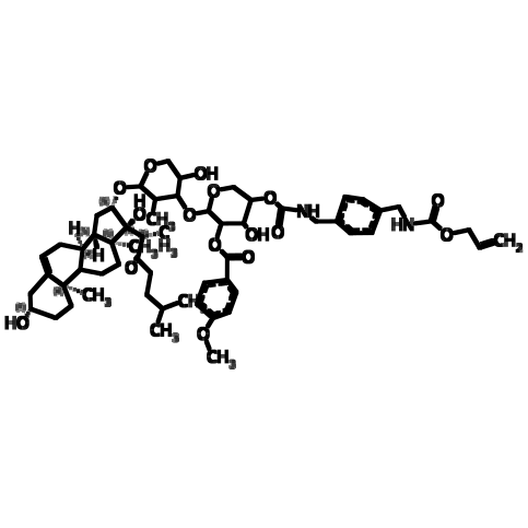 C=CCOC(=O)NCc1ccc(CNC(=O)OC2COC(OC3C(O)COC(O[C@H]4C[C@H]5[C@@H]6CC=C7C[C@@H](O)CC[C@]7(C)C6CC[C@]5(C)[C@@]4(O)[C@H](C)C(=O)CCC(C)C)C3C)C(OC(=O)c3ccc(OC)cc3)C2O)cc1